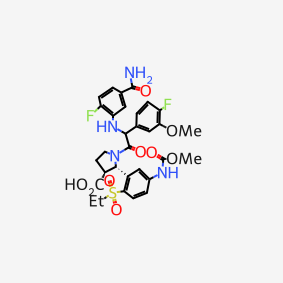 CCS(=O)(=O)c1ccc(NC(=O)OC)cc1[C@@H]1[C@@H](C(=O)O)CCN1C(=O)C(Nc1cc(C(N)=O)ccc1F)c1ccc(F)c(OC)c1